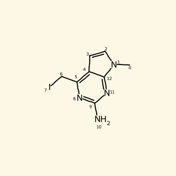 Cn1ccc2c(CI)nc(N)nc21